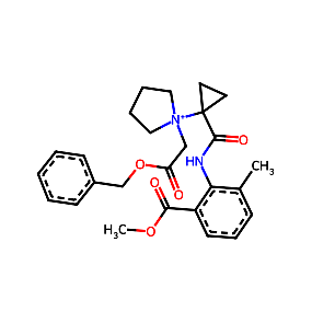 COC(=O)c1cccc(C)c1NC(=O)C1([N+]2(CC(=O)OCc3ccccc3)CCCC2)CC1